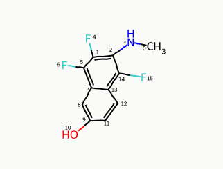 CNc1c(F)c(F)c2cc(O)ccc2c1F